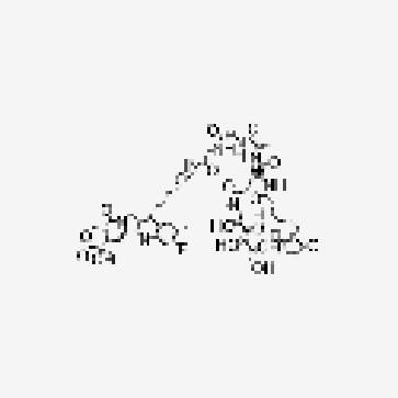 CC[C@@]1(O)C(=O)OCc2c1cc1n(c2=O)Cc2c-1nc1cc(F)c(C)cc1c2CCCCOCNC(=O)CNC(=O)[C@H](C)NC(=O)[C@H](C)NC(=O)[C@H](CCC(=O)N(C)C[C@H](O)[C@@H](O)[C@H](O)[C@H](O)CO)NC(=O)CCCCCN1C(=O)C=CC1=O